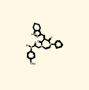 COc1ccc(N(C(=O)CN2C=CN(c3ccccc3)C(=O)/C(=C/c3n[nH]c4c3CCCC4)C2=O)C(C)C)cc1